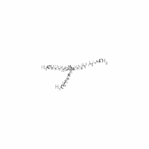 CCCCCCCCCCCCCCCCN1C=CN(CCCCCCCCCCC)C1CCCCCCCCCC